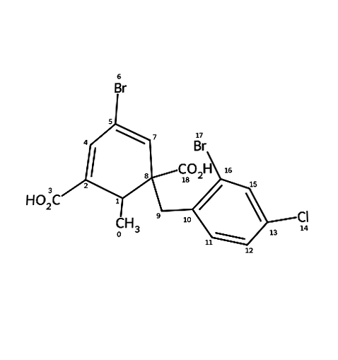 CC1C(C(=O)O)=CC(Br)=CC1(Cc1ccc(Cl)cc1Br)C(=O)O